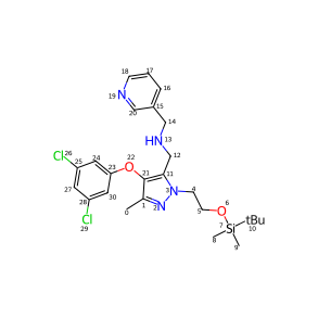 Cc1nn(CCO[Si](C)(C)C(C)(C)C)c(CNCc2cccnc2)c1Oc1cc(Cl)cc(Cl)c1